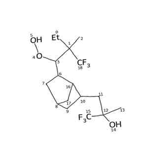 CCC(C)(C(OO)C1CC2CC(CC(C)(O)C(F)(F)F)C1C2)C(F)(F)F